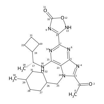 CC(=O)c1nc2nc(-c3nc(=O)o[nH]3)nc(N[C@H](C)C3CCC3)c2n1CC1CCC(C)CC1